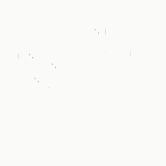 CN1C(=O)[C@](c2ccc(OC(F)F)c(CN)c2)(c2ccc(F)c(OCCC(F)F)c2)N=C1N